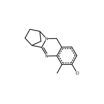 Cc1c(Cl)ccc2c1N=C1C3CCC(C3)N1C2